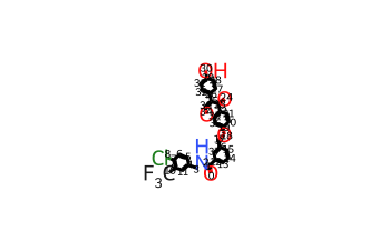 O=C(NCc1ccc(Cl)c(C(F)(F)F)c1)c1cccc(COc2ccc3c(=O)c(-c4ccc(O)cc4)coc3c2)c1